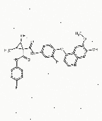 COc1cc2c(Oc3ccc(NC(=O)C4(C(=O)Nc5ccc(F)cc5)C(C)C4C)cc3F)ccnc2cc1O